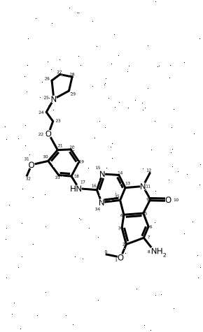 COc1cc2c(cc1N)c(=O)n(C)c1cnc(Nc3ccc(OCCN4CCCC4)c(OC)c3)nc21